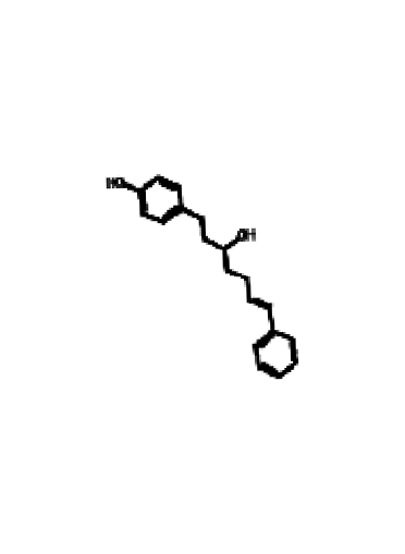 Oc1ccc(CCC(O)CCC=Cc2ccccc2)cc1